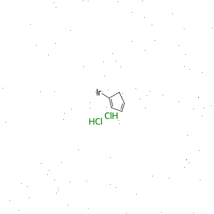 Cl.Cl.[Ir][C]1=CC=CC1